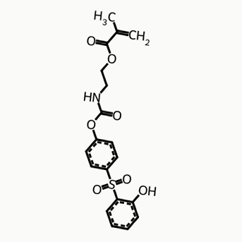 C=C(C)C(=O)OCCNC(=O)Oc1ccc(S(=O)(=O)c2ccccc2O)cc1